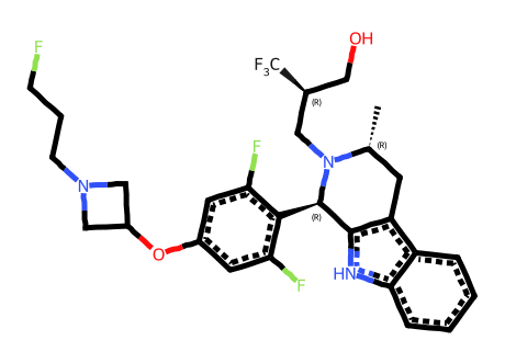 C[C@@H]1Cc2c([nH]c3ccccc23)[C@@H](c2c(F)cc(OC3CN(CCCF)C3)cc2F)N1C[C@H](CO)C(F)(F)F